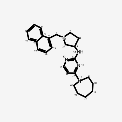 c1ccc2c(CN3CCC(Nc4nccc(N5CCCCCC5)n4)C3)cccc2c1